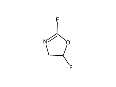 FC1=NCC(F)O1